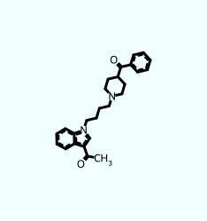 CC(=O)c1cn(CCCCN2CCC(C(=O)c3ccccc3)CC2)c2ccccc12